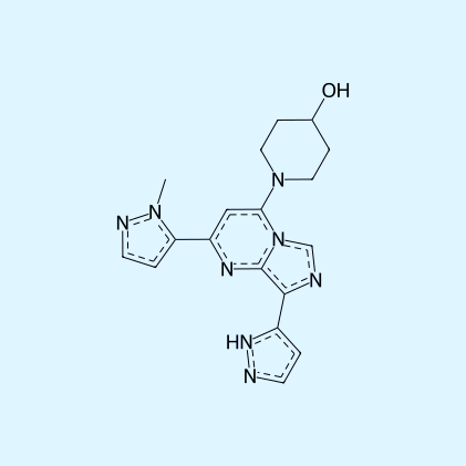 Cn1nccc1-c1cc(N2CCC(O)CC2)n2cnc(-c3ccn[nH]3)c2n1